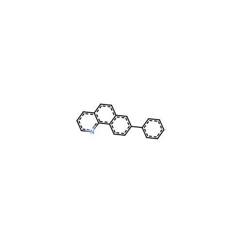 [c]1ccc(-c2ccc3c(ccc4cccnc43)c2)cc1